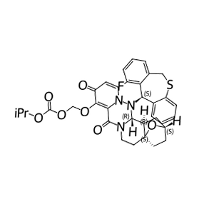 CC(C)OC(=O)OCOc1c2n(ccc1=O)N([C@@H]1c3ccccc3SCc3cccc(F)c31)[C@@H]1[C@H]3C[C@@H]4CC[C@@]3(CCN1C2=O)O4